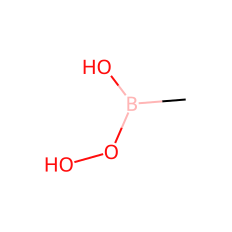 CB(O)OO